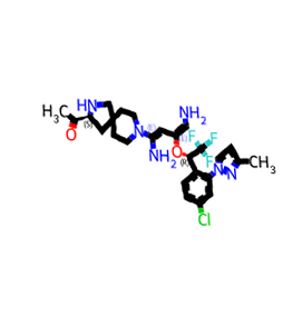 CC(=O)[C@@H]1CC2(CCN(/C(N)=C/C(=C\N)O[C@H](c3ccc(Cl)cc3-n3ccc(C)n3)C(F)(F)F)CC2)CN1